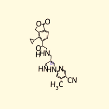 Cc1cc(N/C=C(\C=N)CNCC(O)c2ccc3c(c2C2CC2)COC3=O)ncc1C#N